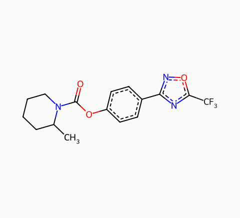 CC1CCCCN1C(=O)Oc1ccc(-c2noc(C(F)(F)F)n2)cc1